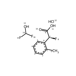 Cc1ccccc1[C@H](F)C(=O)O.Cl.OC(F)F